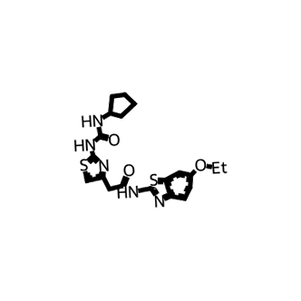 CCOc1ccc2nc(NC(=O)Cc3csc(NC(=O)NC4CCCC4)n3)sc2c1